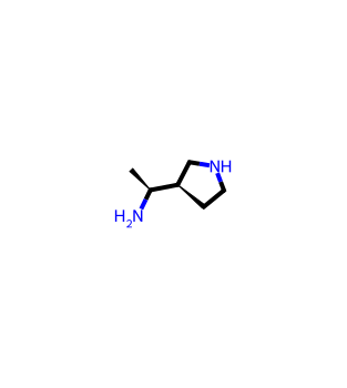 C[C@H](N)[C@@H]1CCNC1